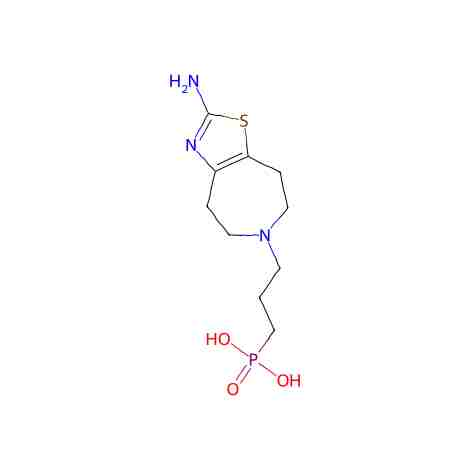 Nc1nc2c(s1)CCN(CCCP(=O)(O)O)CC2